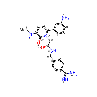 CNN(C)c1ccc(-c2cccc(N)c2)n(CC(=O)NCc2ccc(C(=N)N)cc2)c1=O